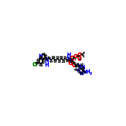 CC(C)OC(=O)OCOP(=O)(CO[C@H](C)Cn1cnc2c(N)ncnc21)NCCCCCCCCCCNc1ccnc2cc(Cl)ccc12